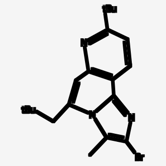 Cc1c(Br)nc2c3ccc(C(C)(C)C)nc3cc(CC(C)(C)C)n12